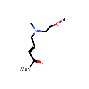 CCCOCCN(C)C/C=C/C(=O)NC